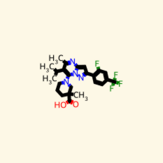 Cc1nc2cc(-c3ccc(C(F)(F)F)cc3F)nn2c(N2CCCC(C)(C(=O)O)C2)c1C(C)C